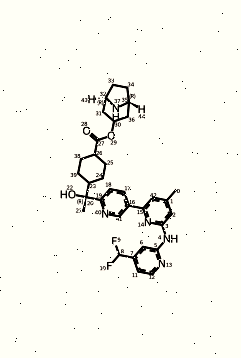 Cc1cc(Nc2cc(C(F)F)ccn2)nc(-c2ccc([C@](C)(O)C3CCC(C(=O)OC4C[C@H]5CC[C@H](C4)N5)CC3)nc2)c1